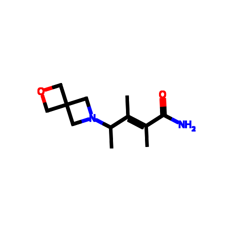 C/C(C(N)=O)=C(/C)C(C)N1CC2(COC2)C1